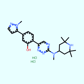 CN(c1ncc(-c2ccc(-c3ccnn3C)cc2O)nn1)C1CC(C)(C)NC(C)(C)C1.Cl.Cl